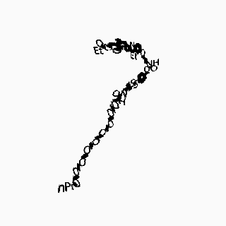 CCCOCCOCCOCCOCCOCCOCCOCCOCCOCCC(=O)NCC(C)(C)SSc1ccc(COC(=O)NCCCOc2ccc3nc4c(c(CC)c3c2)Cn2c-4cc(C)c(COC(=O)CC)c2=O)cc1